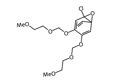 C=CC12C=C(OCOCCOC)C(OCOCCOC)=CC1(Cl)O2